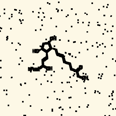 CCCCCC(O)C=C[C@@H]1[C@@H](CC=CCCCC(=O)CO)[C@@H](O)C[C@H]1O